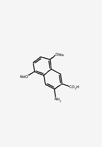 COc1ccc(OC)c2cc(C(=O)O)c(N)cc12